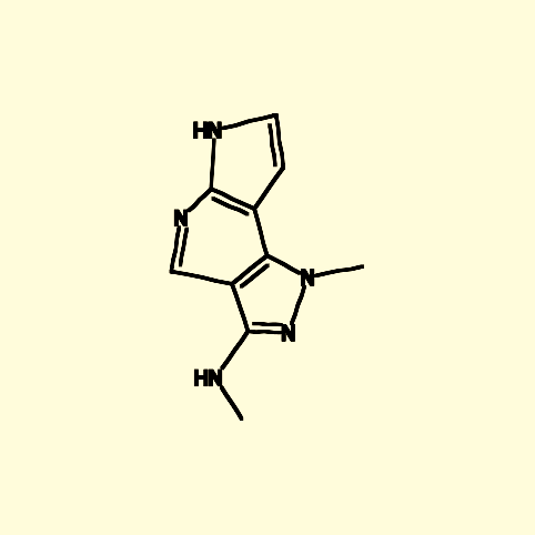 CNc1nn(C)c2c1cnc1[nH]ccc12